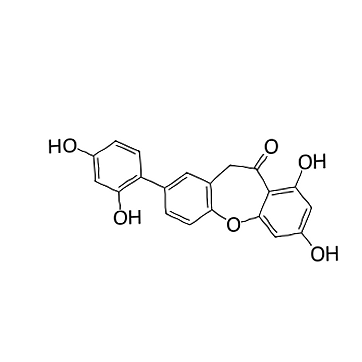 O=C1Cc2cc(-c3ccc(O)cc3O)ccc2Oc2cc(O)cc(O)c21